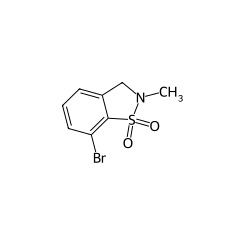 CN1Cc2cccc(Br)c2S1(=O)=O